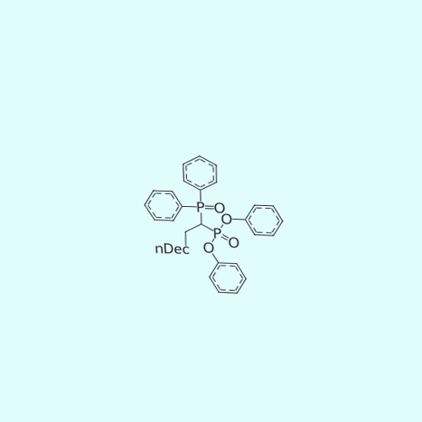 CCCCCCCCCCCC(P(=O)(Oc1ccccc1)Oc1ccccc1)P(=O)(c1ccccc1)c1ccccc1